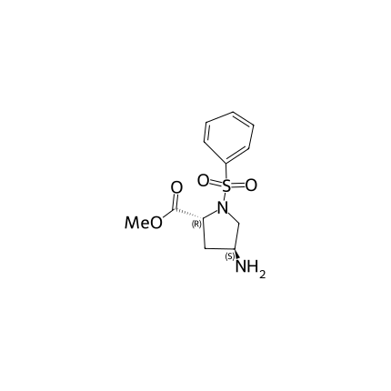 COC(=O)[C@H]1C[C@H](N)CN1S(=O)(=O)c1ccccc1